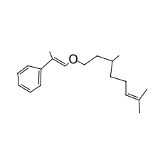 CC(C)=CCCC(C)CCO/C=C(\C)c1ccccc1